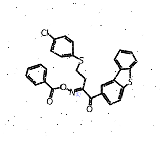 O=C(O/N=C(\CCSc1ccc(Cl)cc1)C(=O)c1ccc2sc3ccccc3c2c1)c1ccccc1